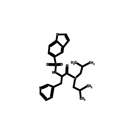 CC(C)CN(CC(C)C)C(=O)C(Cc1cccnc1)NS(=O)(=O)c1ccc2occc2c1